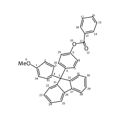 COc1ccc(C2(c3ccc(OC(=O)c4ccccc4)cc3)c3ccccc3-c3ccccc32)cc1